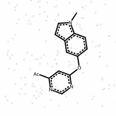 CC(=O)c1cc(Oc2ccc3c(ccn3C)c2)ncn1